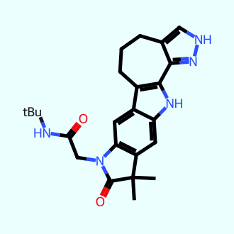 CC(C)(C)NC(=O)CN1C(=O)C(C)(C)c2cc3[nH]c4c(c3cc21)CCCc1c[nH]nc1-4